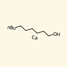 CCCCCCCCCCO.[Ca]